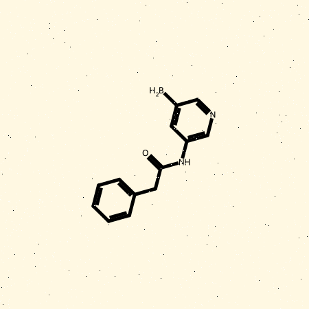 Bc1cncc(NC(=O)Cc2ccccc2)c1